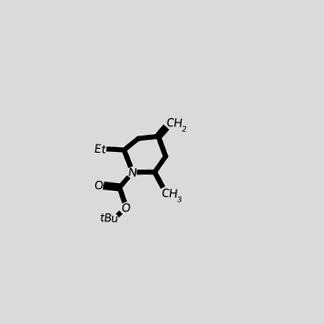 C=C1CC(C)N(C(=O)OC(C)(C)C)C(CC)C1